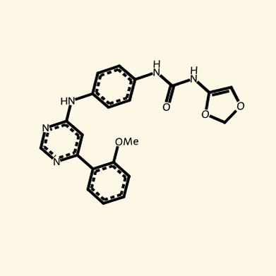 COc1ccccc1-c1cc(Nc2ccc(NC(=O)NC3=COCO3)cc2)ncn1